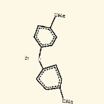 COc1ccc([I+]c2ccc(OC)cc2)cc1.[Br-]